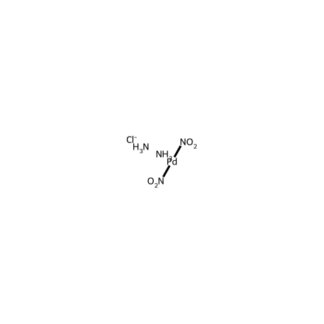 N.N.O=[N+]([O-])[Pd][N+](=O)[O-].[Cl-]